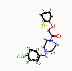 O=C(COc1ccccc1S)N1CCN(Cc2ccc(Cl)cc2)CC1